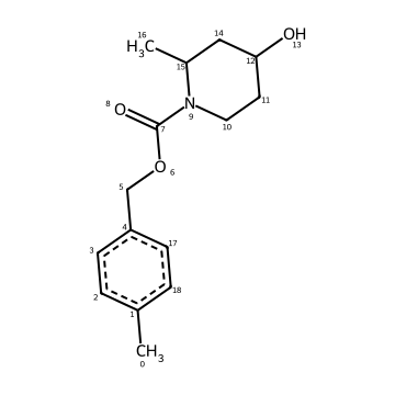 Cc1ccc(COC(=O)N2CCC(O)CC2C)cc1